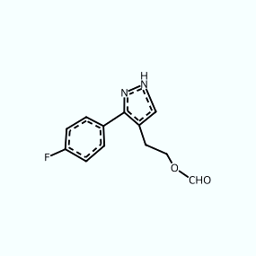 O=COCCc1c[nH]nc1-c1ccc(F)cc1